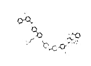 CCOc1cc(N2CCC(C(=O)N3CCC(COc4ccc(-c5ccc(NC(=O)c6ccc(OC)c(-c7cccc(OC)c7)c6)cc5)c(OCCCN(C)C)c4)CC3)CC2)ccc1Nc1ncc2c(n1)N(S(C)(=O)=O)c1ccccc1C(=O)N2C